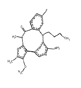 CCCCN1c2cc(F)ccc2C(=O)N(C)c2nn(C)c(OC)c2-c2cnc(N)c1c2